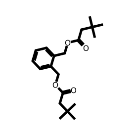 CC(C)(C)CC(=O)OCc1ccccc1COC(=O)CC(C)(C)C